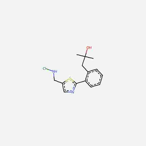 CC(C)(O)Cc1ccccc1-c1ncc(CNCl)s1